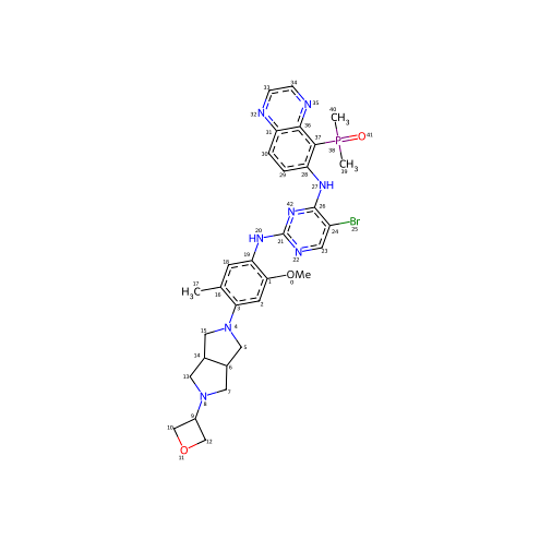 COc1cc(N2CC3CN(C4COC4)CC3C2)c(C)cc1Nc1ncc(Br)c(Nc2ccc3nccnc3c2P(C)(C)=O)n1